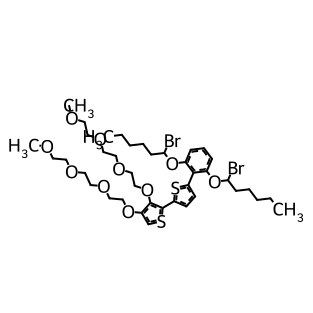 CCCCCC(Br)Oc1cccc(OC(Br)CCCCC)c1-c1ccc(-c2scc(OCCOCCOCCOC)c2OCCOCCOCCOC)s1